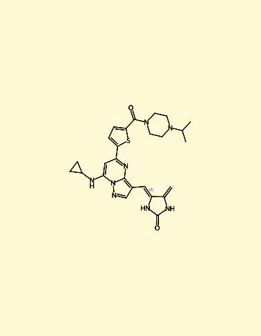 C=c1[nH]c(=O)[nH]/c1=C\c1cnn2c(NC3CC3)cc(-c3ccc(C(=O)N4CCN(C(C)C)CC4)s3)nc12